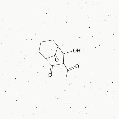 CC(=O)C1=C(O)C2CCCC(C1=O)C2=O